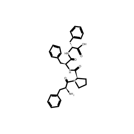 N[C@@H](Cc1ccccc1)C(=O)N1CCC[C@@H]1C(=O)N[C@@H](Cc1ccccc1)C(=O)N[C@H](Cc1ccccc1)C(=O)O